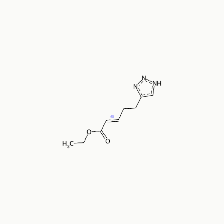 CCOC(=O)/C=C/CCc1c[nH]nn1